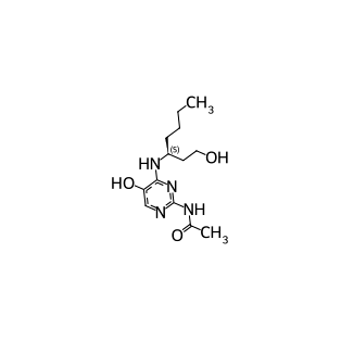 CCCC[C@@H](CCO)Nc1nc(NC(C)=O)ncc1O